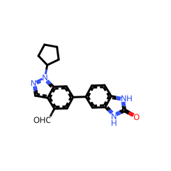 O=Cc1cc(-c2ccc3[nH]c(=O)[nH]c3c2)cc2c1cnn2C1CCCC1